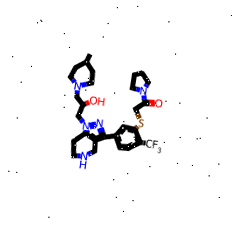 CC1CCN(CC(O)Cn2nc(-c3ccc(C(F)(F)F)c(SCC(=O)N4CCCC4)c3)c3c2CCNC3)CC1